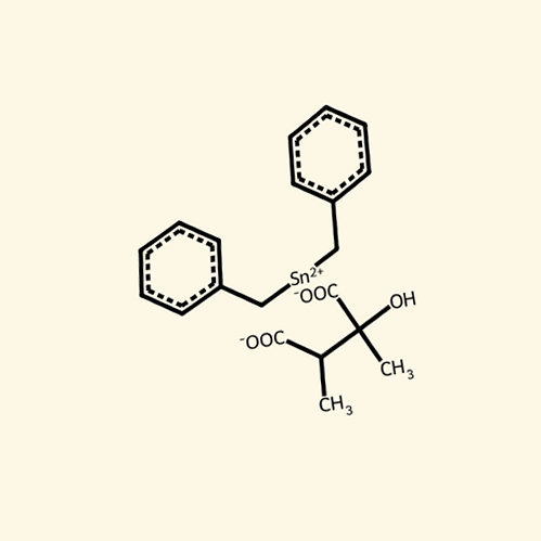 CC(C(=O)[O-])C(C)(O)C(=O)[O-].c1ccc([CH2][Sn+2][CH2]c2ccccc2)cc1